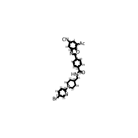 [C-]#[N+]c1cc(C(C)=O)c2oc(-c3ccc(C(=O)NCC4CCN(c5ccc(Br)cn5)CC4)cc3)nc2c1